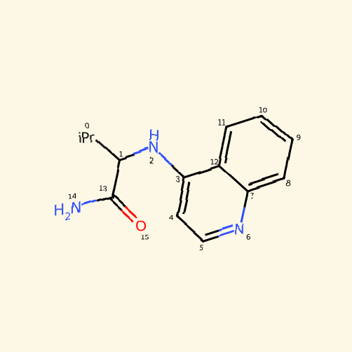 CC(C)C(Nc1ccnc2ccccc12)C(N)=O